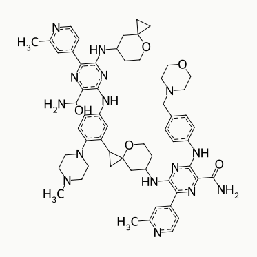 Cc1cc(-c2nc(C(N)=O)c(Nc3ccc(CN4CCOCC4)cc3)nc2NC2CCOC3(C2)CC3c2cc(Nc3nc(NC4CCOC5(CC5)C4)c(-c4ccnc(C)c4)nc3C(N)O)ccc2N2CCN(C)CC2)ccn1